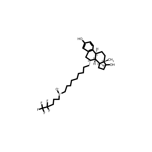 C[C@]12CC[C@@H]3c4ccc(O)cc4C[C@@H](CCCCCCCCC[S+]([O-])CCCC(F)(F)C(F)(F)F)[C@H]3[C@@H]1CCC2O